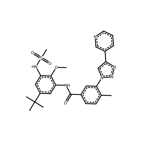 COc1c(NC(=O)c2ccc(C)c(-n3cc(-c4cccnc4)nn3)c2)cc(C(C)(C)C)cc1NS(C)(=O)=O